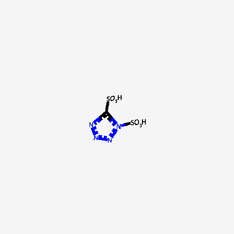 O=S(=O)(O)c1nnnn1S(=O)(=O)O